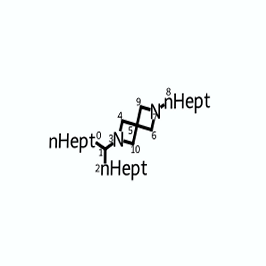 CCCCCCCC(CCCCCCC)N1CC2(CN(CCCCCCC)C2)C1